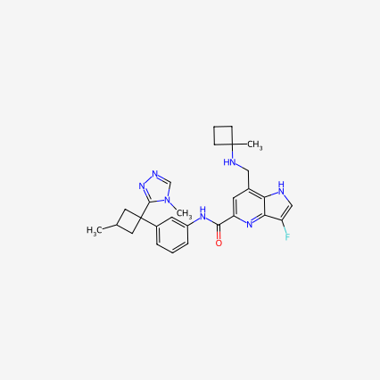 CC1CC(c2cccc(NC(=O)c3cc(CNC4(C)CCC4)c4[nH]cc(F)c4n3)c2)(c2nncn2C)C1